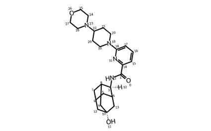 O=C(N[C@H]1C2CC3CC1C[C@](O)(C3)C2)c1cccc(N2CCC(N3CCOCC3)CC2)n1